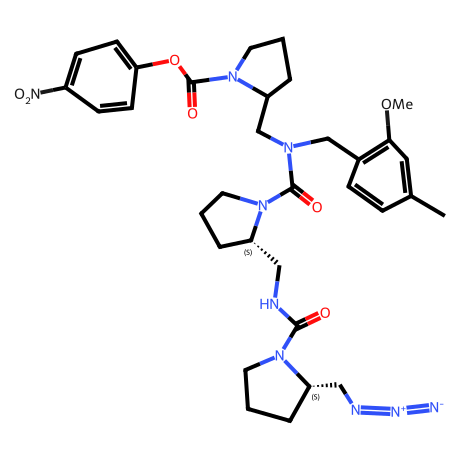 COc1cc(C)ccc1CN(CC1CCCN1C(=O)Oc1ccc([N+](=O)[O-])cc1)C(=O)N1CCC[C@H]1CNC(=O)N1CCC[C@H]1CN=[N+]=[N-]